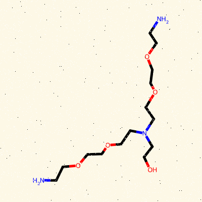 NCCOCCOCCN(CCO)CCOCCOCCN